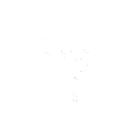 CC1(C)CNCCN(c2ccc(N)c(C(=O)NCC(=O)OC(C)(C)C)c2)C1